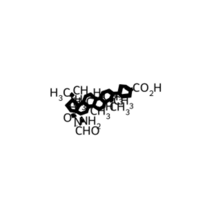 C=C(C)[C@@H]1CC[C@]2(C(=O)N(N)CC=O)CC[C@]3(C)[C@H](CC[C@@H]4[C@@]5(C)CC=C(c6ccc(C(=O)O)cc6)C(C)(C)[C@@H]5CC[C@]43C)[C@@H]12